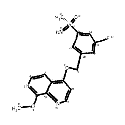 COc1nccc2c(OCc3cc(F)cc([S@@](C)(=N)=O)c3)ccnc12